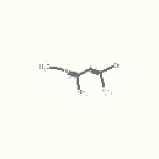 BC(=B\C)/C=C(\C)CC